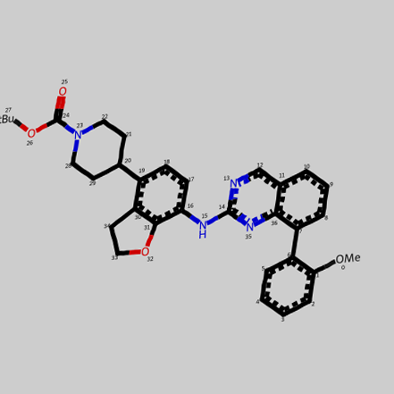 COc1ccccc1-c1cccc2cnc(Nc3ccc(C4CCN(C(=O)OC(C)(C)C)CC4)c4c3OCC4)nc12